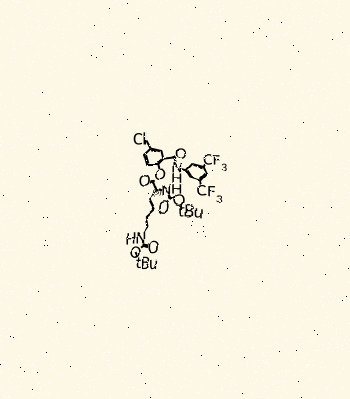 CC(C)(C)OC(=O)NCCCC[C@H](NC(=O)OC(C)(C)C)C(=O)Oc1ccc(Cl)cc1C(=O)Nc1cc(C(F)(F)F)cc(C(F)(F)F)c1